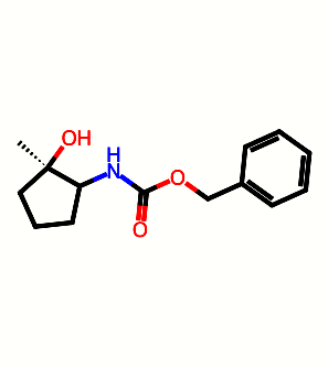 C[C@@]1(O)CCCC1NC(=O)OCc1ccccc1